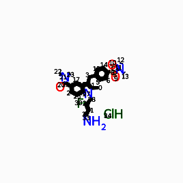 Cc1c(Cc2ccc(S(=O)(=O)N(C)C)cc2)c2cc(C(=O)N(C)C)ccc2n1C/C(F)=C/CN.Cl